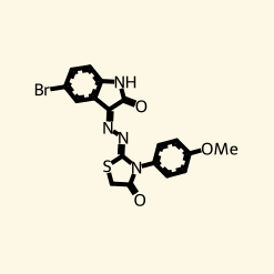 COc1ccc(N2C(=O)CSC2=NN=C2C(=O)Nc3ccc(Br)cc32)cc1